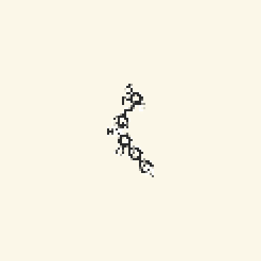 COc1cc(Nc2ncc(CCc3c(F)ccc(OC)c3F)cn2)ccc1N1CCC(N2CCN(C)CC2)CC1